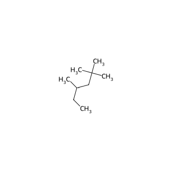 CC[C](C)CC(C)(C)C